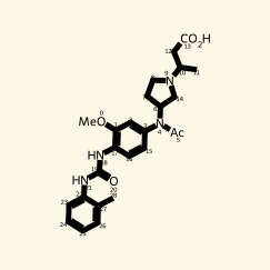 COc1cc(N(C(C)=O)C2CCN(C(C)CC(=O)O)C2)ccc1NC(=O)Nc1ccccc1C